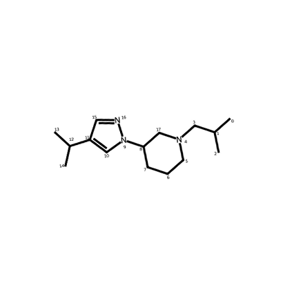 CC(C)CN1CCCC(n2cc(C(C)C)cn2)C1